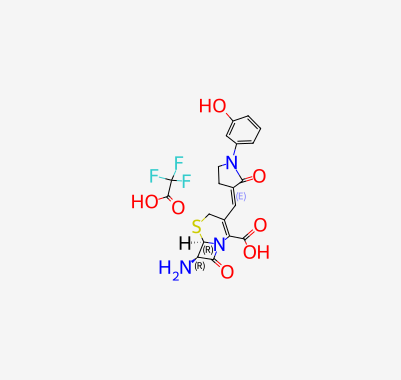 N[C@@H]1C(=O)N2C(C(=O)O)=C(/C=C3\CCN(c4cccc(O)c4)C3=O)CS[C@H]12.O=C(O)C(F)(F)F